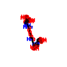 COCC\N=C(/C=C/C=C1/N(CCCCCC(=O)NCCOCCOCCOCCOCCC(=O)NCCCc2cn([C@@H]3O[C@H](COP(=O)(O)O)C(OP(=O)(O)O)[C@@H]3O)c(=O)nc2N)c2ccc(S(=O)(=O)O)cc2C1(C)CCCS(=O)(=O)O)C(C)(CCCS(=O)(=O)O)c1cc(S(=O)(=O)O)ccc1C